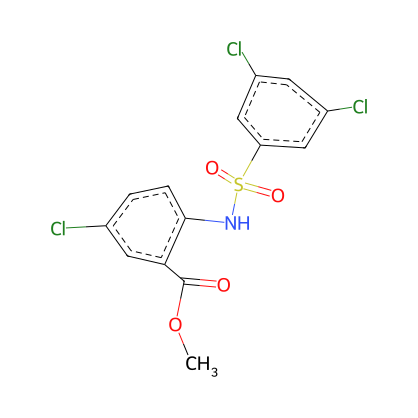 COC(=O)c1cc(Cl)ccc1NS(=O)(=O)c1cc(Cl)cc(Cl)c1